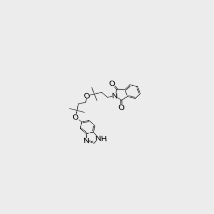 CC(C)(CCN1C(=O)c2ccccc2C1=O)OCCC(C)(C)Oc1ccc2[nH]cnc2c1